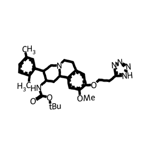 COc1cc2c(cc1OCCc1nnn[nH]1)CCN1CC(c3cc(C)ccc3C)C(NC(=O)OC(C)(C)C)CC21